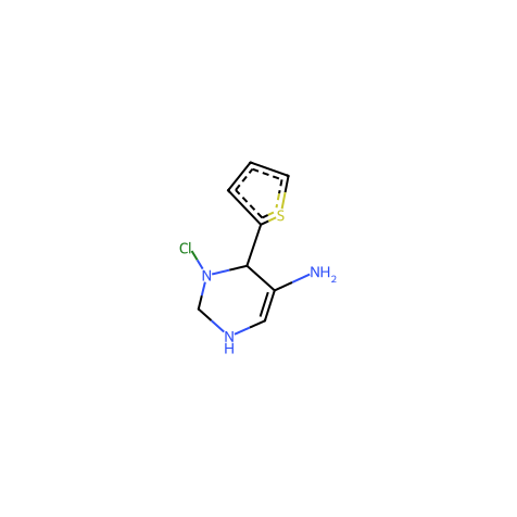 NC1=CNCN(Cl)C1c1cccs1